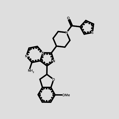 COc1cccc2c1OC(c1nc(C3CCN(C(=O)c4ccsc4)CC3)n3ccnc(N)c13)C2